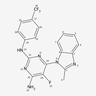 Cc1nc2ccccc2n1-c1nc(Nc2ccc(C(F)(F)F)cc2)nc(N)c1F